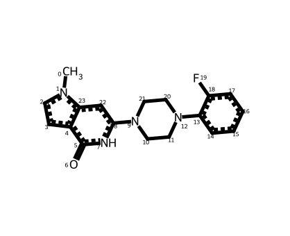 Cn1ccc2c(=O)[nH]c(N3CCN(c4ccccc4F)CC3)cc21